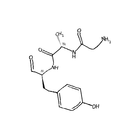 C[C@H](NC(=O)CN)C(=O)N[C@H](C=O)Cc1ccc(O)cc1